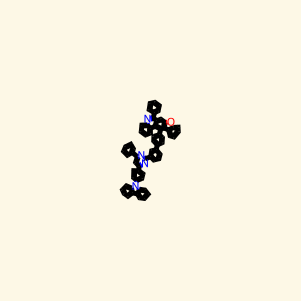 c1ccc(-c2cc(-c3ccc(-n4c5ccccc5c5ccccc54)cc3)nc(-c3cccc(-c4ccc(-c5c6c(cc7c(-c8ccccc8)nc8ccccc8c57)oc5ccccc56)cc4)c3)n2)cc1